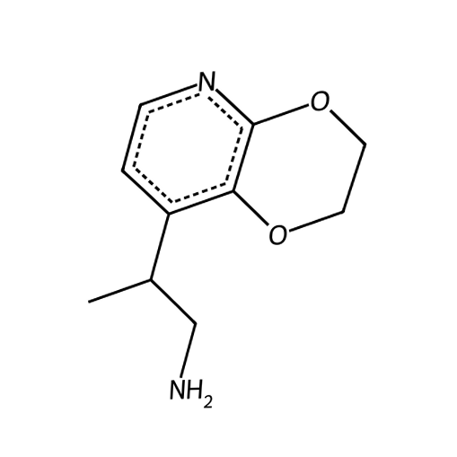 CC(CN)c1ccnc2c1OCCO2